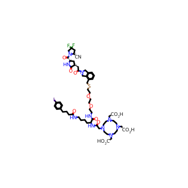 N#C[C@@H]1CC(F)(F)CN1C(=O)[C@@H]1C[C@@H](CC(=O)N2Cc3cccc(CSCCOCCOCCNC(=O)C(CCCCNC(=O)CCCc4ccc(I)cc4)NC(=O)CN4CCN(CC(=O)O)CCN(CC(=O)O)CCN(CC(=O)O)CC4)c3C2)C(=O)N1